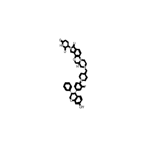 O=C1CCC(N2Cc3c(ccc4c3OC[C@@H]3CN(CC5CCN(c6ccc([C@@H]7c8ccc(O)cc8OC[C@@H]7c7ccccc7)cc6F)CC5)CCN43)C2=O)C(=O)N1